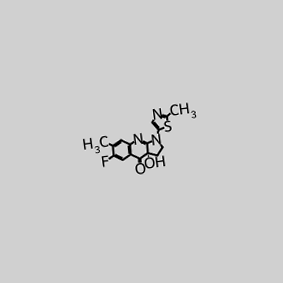 Cc1ncc(N2CC[C@@]3(O)C(=O)c4cc(F)c(C)cc4N=C23)s1